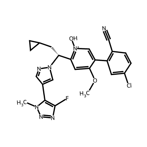 COc1cc([C@@H](CC2CC2)n2cc(-c3c(F)nnn3C)cn2)[n+](O)cc1-c1cc(Cl)ccc1C#N